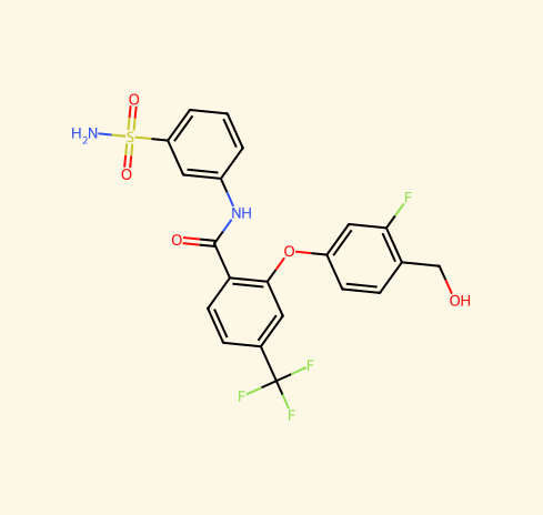 NS(=O)(=O)c1cccc(NC(=O)c2ccc(C(F)(F)F)cc2Oc2ccc(CO)c(F)c2)c1